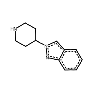 c1ccc2nn(C3CCNCC3)cc2c1